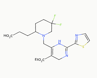 CCOC(=O)C1=C(CN2CC(F)(F)CCC2CCC(=O)O)NC(c2nccs2)=NC1